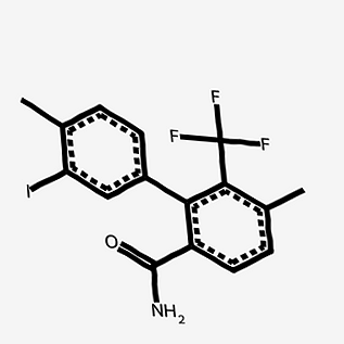 Cc1ccc(-c2c(C(N)=O)ccc(C)c2C(F)(F)F)cc1I